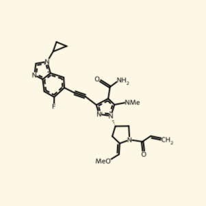 C=CC(=O)N1C[C@@H](n2nc(C#Cc3cc4c(cc3F)ncn4C3CC3)c(C(N)=O)c2NC)C/C1=C\OC